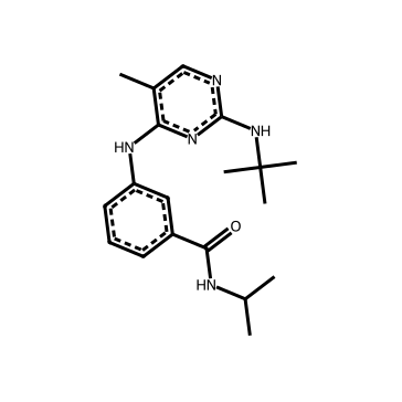 Cc1cnc(NC(C)(C)C)nc1Nc1cccc(C(=O)NC(C)C)c1